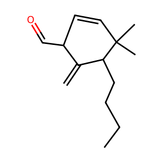 C=C1C(C=O)C=CC(C)(C)C1CCCC